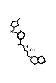 CN1CCC(Nc2cc(C(=O)NC[C@H](O)CN3CCc4ccccc4C3)ccn2)C1